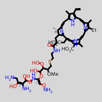 C=Cc1c(C)c2cc3nc(c(CC(=O)O)c4[nH]c(cc5nc(cc1[nH]2)C(C)=C5CC)c(C)c4C(=O)O)C(CCC(=O)NCCSCC(OC)C(OO)C(O)O/C(=C\ON)NOC(O)/C(N)=C(/O)CN)[C@@H]3C